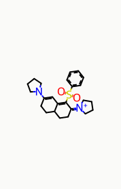 O=S(=O)(C1=C2C=C(N3CCCC3)CCC2CCC1=[N+]1CCCC1)c1ccccc1